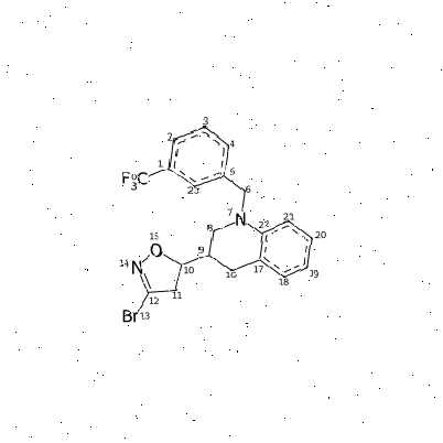 FC(F)(F)c1cccc(CN2CC(C3CC(Br)=NO3)Cc3ccccc32)c1